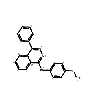 CCCCOc1ccc(Nc2nnc(-c3ccccc3)c3ccccc23)cc1